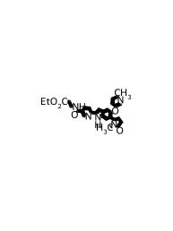 CCOC(=O)CCNC(=O)c1ccc(-c2cc3cc(Oc4ccc(C)nc4)c(C4CCC(=O)N4C)cc3[nH]2)nc1